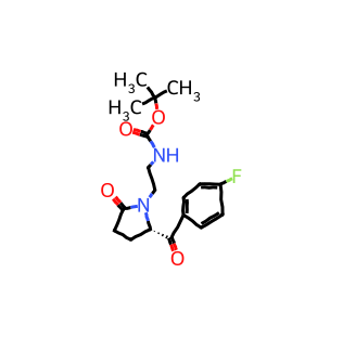 CC(C)(C)OC(=O)NCCN1C(=O)CC[C@H]1C(=O)c1ccc(F)cc1